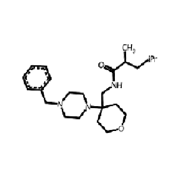 CC(C)CC(C)C(=O)NCC1(N2CCN(Cc3ccccc3)CC2)CCOCC1